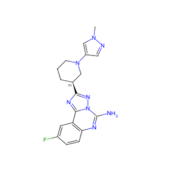 Cn1cc(N2CCC[C@H](c3nc4c5cc(F)ccc5nc(N)n4n3)C2)cn1